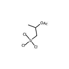 CC(=O)OC(C)C[Si](Cl)(Cl)Cl